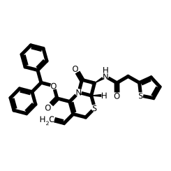 C=CC1=C(C(=O)OC(c2ccccc2)c2ccccc2)N2C(=O)[C@@H](NC(=O)Cc3cccs3)[C@@H]2SC1